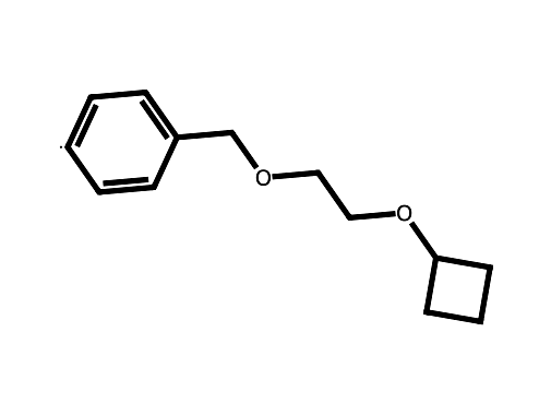 [c]1ccc(COCCOC2CCC2)cc1